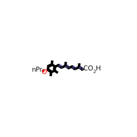 CCCOc1cc(C)c(/C=C/C(C)=C/C=C/C(C)=C/C(=O)O)c(C)c1C